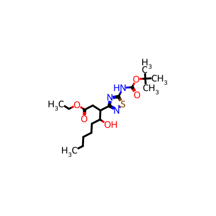 CCCCCC(O)C(CC(=O)OCC)c1nsc(NC(=O)OC(C)(C)C)n1